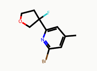 Cc1cc(Br)nc(C2(F)CCOC2)c1